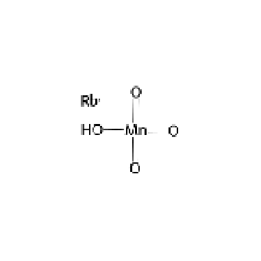 [O]=[Mn](=[O])(=[O])[OH].[Rb]